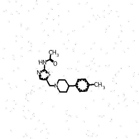 CC(=O)Nc1ncc(CN2CCC(c3ccc(C)cc3)CC2)s1